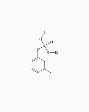 C=Cc1cccc(O[Si](CC)(OCC)OCC)c1